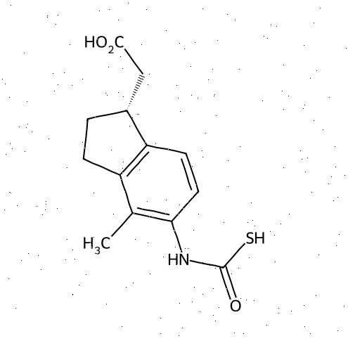 Cc1c(NC(=O)S)ccc2c1CC[C@@H]2CC(=O)O